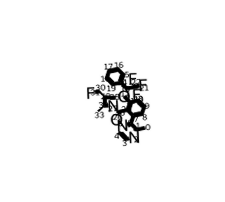 Cc1nccnc1-c1cc[c]c(O[C@H](c2ccccc2)C(F)(F)F)c1C(=O)N1C[C@H](CF)[C@@H]1C